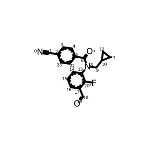 N#Cc1ccc(C(=O)N(CC2CC2)c2cccc(C=O)c2F)cc1